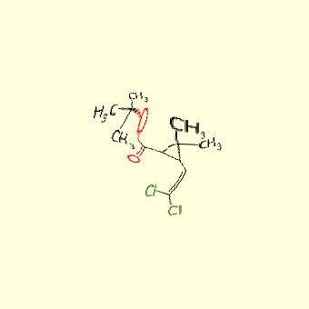 CC(C)(C)OC(=O)C1C(C=C(Cl)Cl)C1(C)C